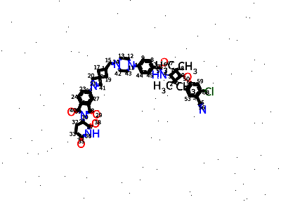 CC1(C)[C@H](NC(=O)c2ccc(N3CCN(CC4CC5(C4)CN(c4ccc6c(c4)C(=O)N(C4CCC(=O)NC4=O)C6=O)C5)CC3)cc2)C(C)(C)[C@H]1Oc1ccc(C#N)c(Cl)c1